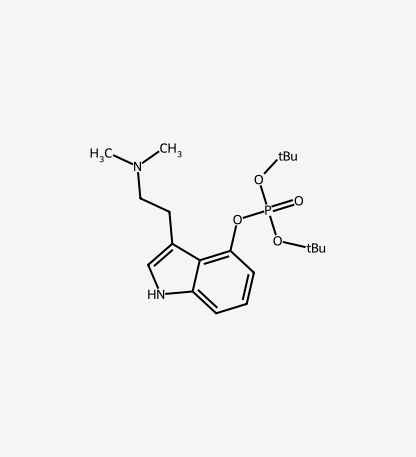 CN(C)CCc1c[nH]c2cccc(OP(=O)(OC(C)(C)C)OC(C)(C)C)c12